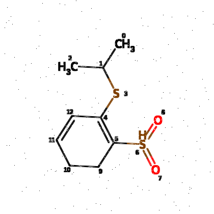 CC(C)SC1=C([SH](=O)=O)CCC=C1